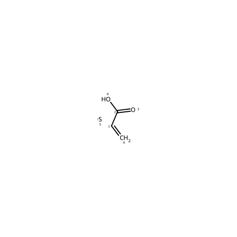 C=CC(=O)O.[S]